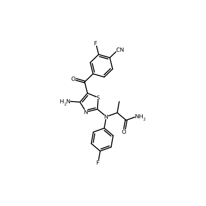 CC(C(N)=O)N(c1ccc(F)cc1)c1nc(N)c(C(=O)c2ccc(C#N)c(F)c2)s1